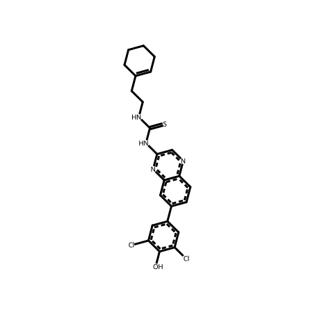 Oc1c(Cl)cc(-c2ccc3ncc(NC(=S)NCCC4=CCCCC4)nc3c2)cc1Cl